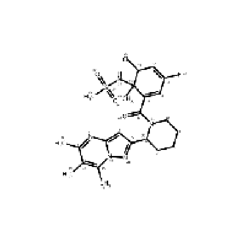 Cc1nc2cc([C@@H]3CCCCN3C(=O)C3=CC(F)=CC(Cl)C3(C)NS(C)(=O)=O)nn2c(C)c1C